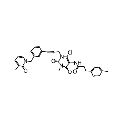 Cc1ccc(CCC(=O)Nc2c(Cl)n(CC#Cc3cccc(Cn4cccc(C)c4=O)c3)c(=O)n(C)c2=O)cc1